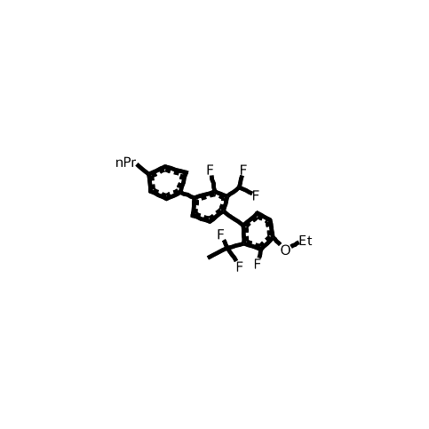 CCCc1ccc(-c2ccc(-c3ccc(OCC)c(F)c3C(C)(F)F)c(C(F)F)c2F)cc1